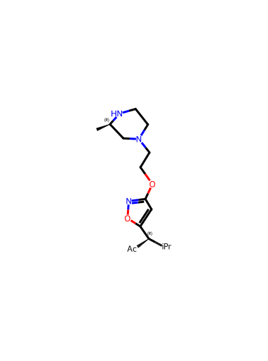 CC(=O)[C@@H](c1cc(OCCN2CCN[C@H](C)C2)no1)C(C)C